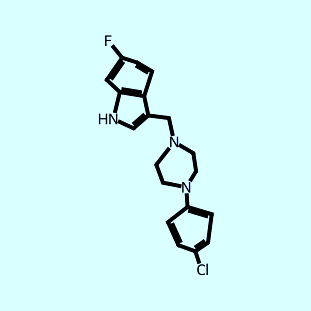 Fc1ccc2c(CN3CCN(c4ccc(Cl)cc4)CC3)c[nH]c2c1